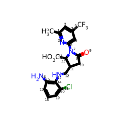 Cc1cc(C(F)(F)F)cc(N2C(=O)CC(CNc3c(N)cccc3Cl)C2C(=O)O)n1